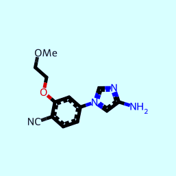 COCCOc1cc(-n2cnc(N)c2)ccc1C#N